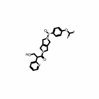 O=C(C(CO)c1ccccn1)N1CC2=C(C1)CN([S+]([O-])c1ccc(OC(F)F)cc1)C2